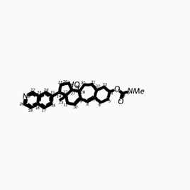 CNC(=O)OC1CCC2=CC3=CCC4(C)C(c5ccc6ccncc6c5)CCC4[C@@]3(O)CCC2C1